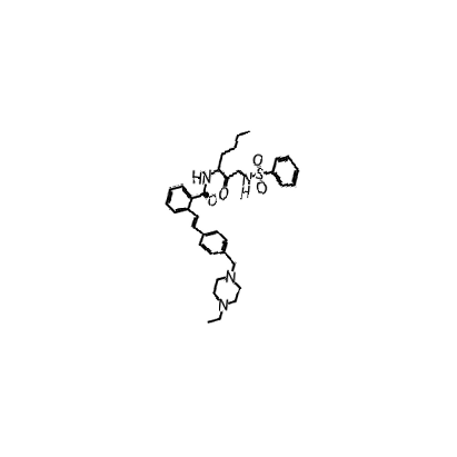 CCCCC(NC(=O)c1ccccc1C=Cc1ccc(CN2CCN(CC)CC2)cc1)C(=O)CNS(=O)(=O)c1ccccc1